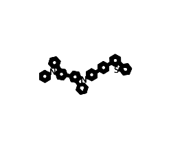 C1=CC2c3cc(-c4ccc5c(c4)c4ccccc4n5-c4ccccc4)ccc3N(c3ccc(-c4ccc(-c5cccc6c5sc5ccccc56)cc4)cc3)C2C=C1